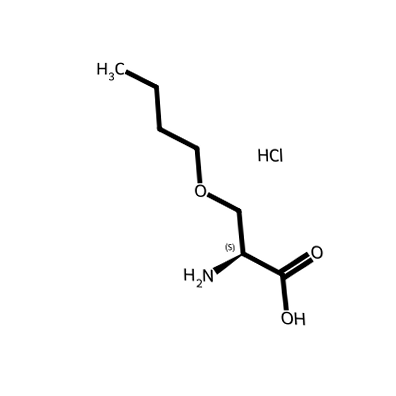 CCCCOC[C@H](N)C(=O)O.Cl